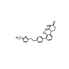 Cn1ccc(CCc2ccc(-c3cccc(C4CCC(=O)NC4=O)c3Cl)cc2)n1